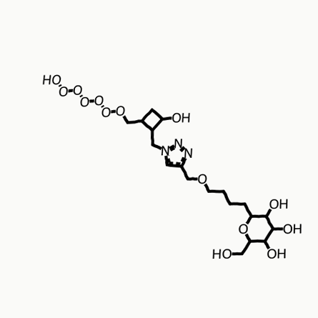 OCC1OC(CCCCOCc2cn(CC3C(O)CC3COOOOOOO)nn2)C(O)C(O)C1O